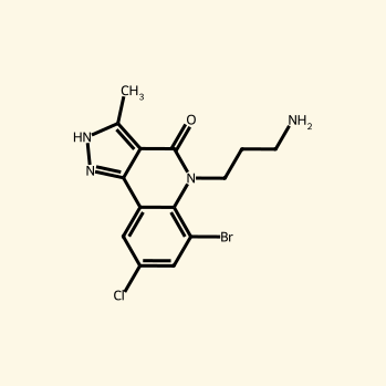 Cc1[nH]nc2c1c(=O)n(CCCN)c1c(Br)cc(Cl)cc21